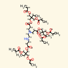 C=CC(=O)OCC(CC)(COC(=O)C=C)COC(=O)CCNCCN(CCC(=O)OCC(CC)(COC(=O)C=C)COC(=O)C=C)CCC(=O)OCC(CC)(COC(=O)C=C)COC(=O)C=C